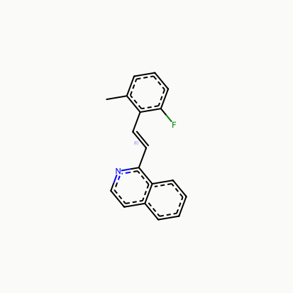 Cc1cccc(F)c1/C=C/c1nccc2ccccc12